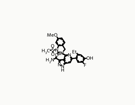 CCc1cc(O)c(F)cc1-c1cc2[nH]nc(C(N)=O)c2c(NCc2ccc(OC)cc2N(C)S(C)(=O)=O)n1